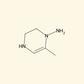 CC1=CNCCN1N